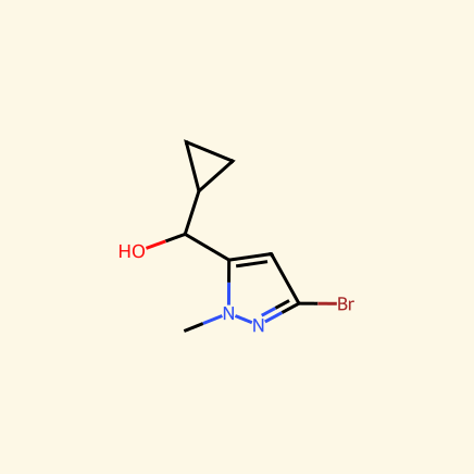 Cn1nc(Br)cc1C(O)C1CC1